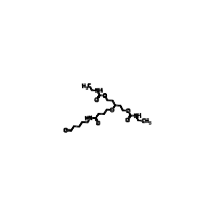 CCNC(=O)OCCC(CCOC(=O)NCC)OCCCC(=O)NCCCCC=O